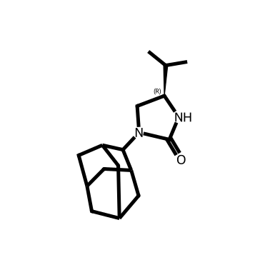 CC(C)[C@@H]1CN(C2C3CC4CC(C3)CC2C4)C(=O)N1